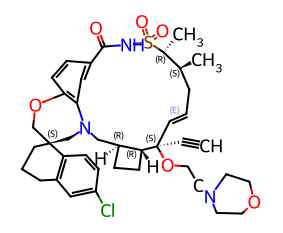 C#C[C@@]1(OCCN2CCOCC2)/C=C/C[C@H](C)[C@@H](C)S(=O)(=O)NC(=O)c2ccc3c(c2)N(C[C@@H]2CC[C@H]21)C[C@@]1(CCCc2cc(Cl)ccc21)CO3